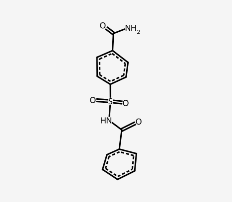 NC(=O)c1ccc(S(=O)(=O)NC(=O)c2ccccc2)cc1